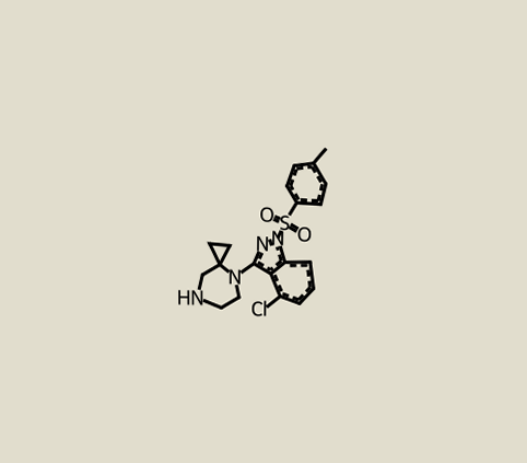 Cc1ccc(S(=O)(=O)n2nc(N3CCNCC34CC4)c3c(Cl)cccc32)cc1